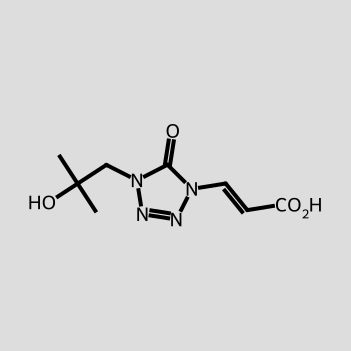 CC(C)(O)Cn1nnn(/C=C/C(=O)O)c1=O